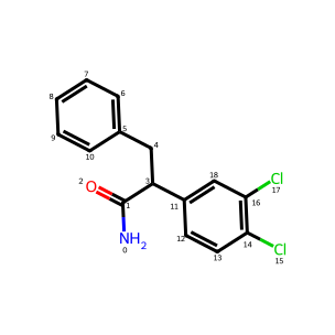 NC(=O)C(Cc1ccccc1)c1ccc(Cl)c(Cl)c1